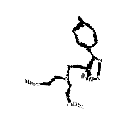 CCCCCCCCCCCCN(CCCCCCCCCCCC)Cc1[nH]nnc1-c1ccc(C)cc1